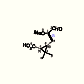 CO/C(C=O)=C\[C@H]1[C@@H](C(=O)O)C1(C)C